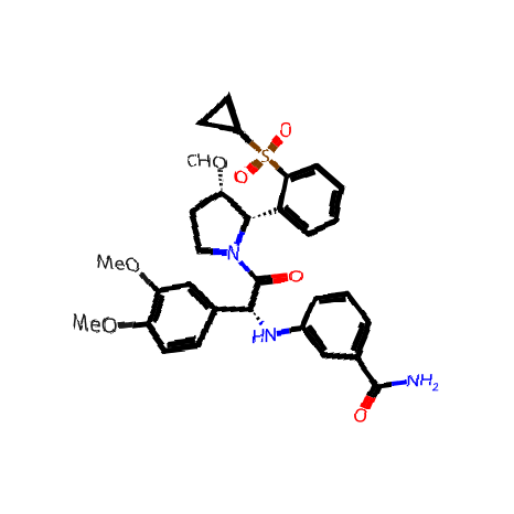 COc1ccc([C@@H](Nc2cccc(C(N)=O)c2)C(=O)N2CC[C@H](C=O)[C@@H]2c2ccccc2S(=O)(=O)C2CC2)cc1OC